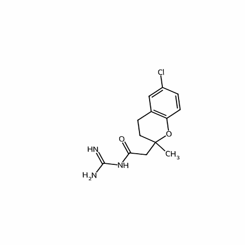 CC1(CC(=O)NC(=N)N)CCc2cc(Cl)ccc2O1